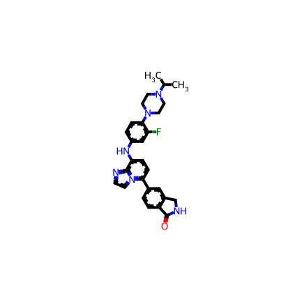 CC(C)N1CCN(c2ccc(Nc3ccc(-c4ccc5c(c4)CNC5=O)n4ccnc34)cc2F)CC1